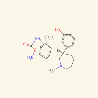 CCC1(c2cccc(O)c2)CCCCN(C)C1.NOC(N)=O.O=C(O)c1ccccc1